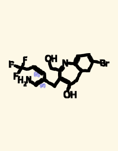 N/C=C(\C=C/CC(F)(F)F)CC1=C(O)CC2CC(Br)=CC=C2N=C1CO